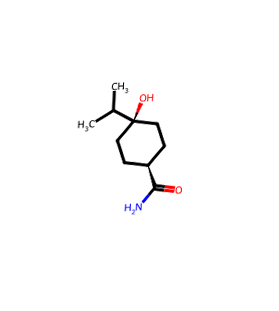 CC(C)[C@]1(O)CC[C@@H](C(N)=O)CC1